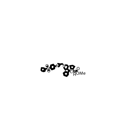 COC(=O)N[C@H]1CCC[C@@H]1C(C#N)(c1ccccc1)C1CCN(CC2CN(c3ccc(S(=O)(=O)C4CC5CCC4C5)cc3)C2)CC1